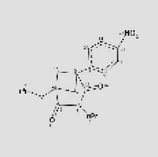 CCCN1C(=O)C2(CC(C)C)CC(c3ccc([N+](=O)[O-])cc3)(C2)C1=O